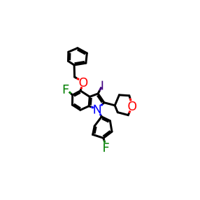 Fc1ccc(-n2c(C3CCOCC3)c(I)c3c(OCc4ccccc4)c(F)ccc32)cc1